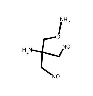 NOCC(N)(CN=O)CN=O